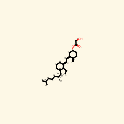 C=C1CC[C@H](OC(=O)CO)C/C1=C/C=C1CCC[C@@]2(C)C1CC[C@@H]2[C@H](C)CCCC(C)C